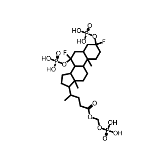 CC(CCC(=O)OCOP(=O)(O)O)C1CCC2C3C(CCC12C)C1(C)CCC(F)(OP(=O)(O)O)CC1CC3(F)OP(=O)(O)O